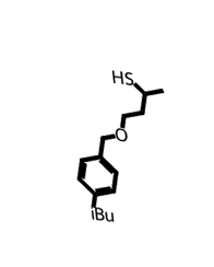 CCC(C)c1ccc(COCCC(C)S)cc1